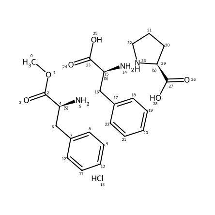 COC(=O)[C@@H](N)Cc1ccccc1.Cl.N[C@@H](Cc1ccccc1)C(=O)O.O=C(O)[C@@H]1CCCN1